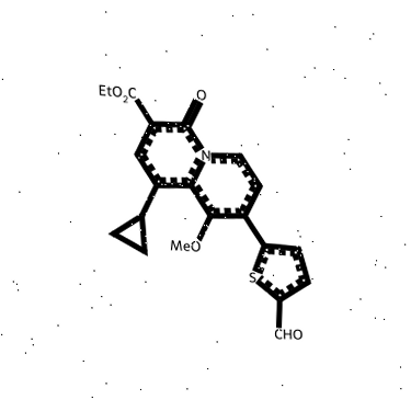 CCOC(=O)c1cc(C2CC2)c2c(OC)c(-c3ccc(C=O)s3)ccn2c1=O